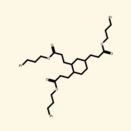 CC(C)CCCOC(=O)CCC1CCC(CCC(=O)OCCCC(C)C)C(CCC(=O)OCCCC(C)C)C1